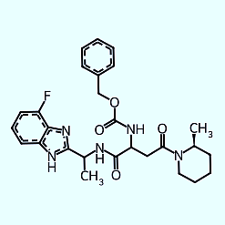 CC(NC(=O)C(CC(=O)N1CCCC[C@@H]1C)NC(=O)OCc1ccccc1)c1nc2c(F)cccc2[nH]1